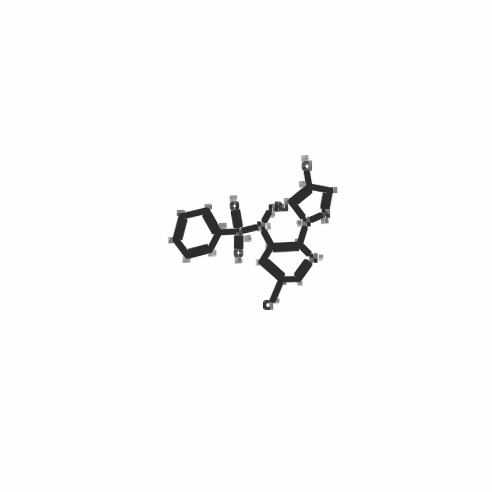 CCCCN(c1cc(Cl)cnc1-n1cc(Cl)cn1)S(=O)(=O)c1ccccc1